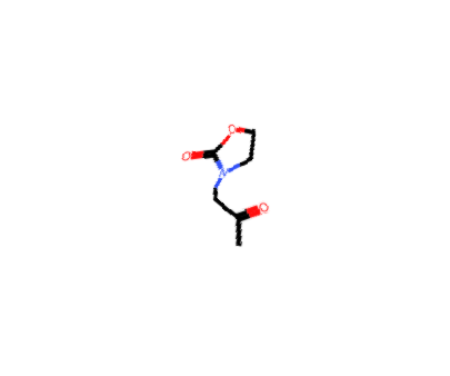 CC(=O)CN1CCOC1=O